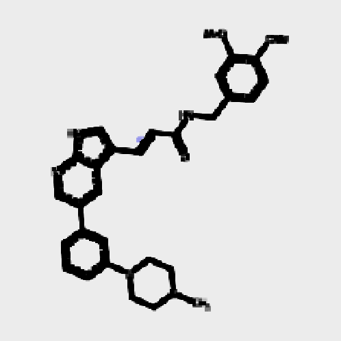 COc1ccc(CNC(=O)/C=C/c2c[nH]c3ncc(-c4cccc(N5CCN(C)CC5)c4)cc23)cc1OC